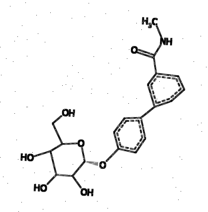 CNC(=O)c1cccc(-c2ccc(O[C@H]3OC(CO)C(O)C(O)C3O)cc2)c1